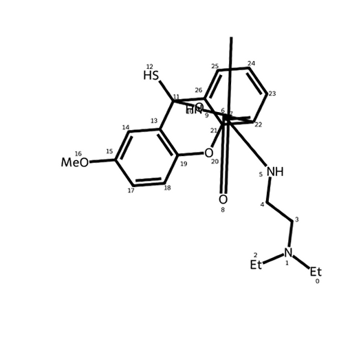 CCN(CC)CCNC1C(=O)NOC2(S)c3cc(OC)ccc3Oc3c1cccc32